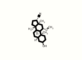 CO[C@H]1C[C@]2(C)[C@@H](C#N)CC[C@@]2(C)[C@@H]2CC[C@@H]3C[C@H](O)CC[C@]3(C)C12